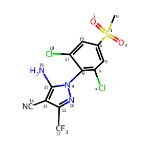 CS(=O)(=O)c1cc(Cl)c(-n2nc(C(F)(F)F)c(C#N)c2N)c(Cl)c1